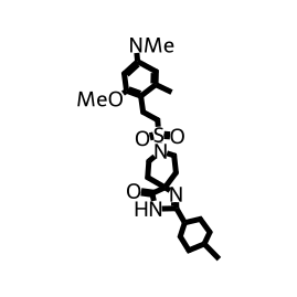 CNc1cc(C)c(CCS(=O)(=O)N2CCC3(CC2)N=C(C2CCC(C)CC2)NC3=O)c(OC)c1